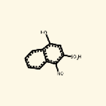 O=Nc1c(S(=O)(=O)O)cc(O)c2ccccc12